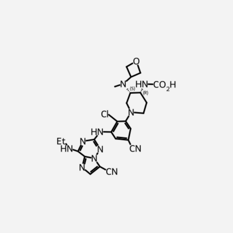 CCNc1nc(Nc2cc(C#N)cc(N3CC[C@@H](NC(=O)O)[C@@H](N(C)C4COC4)C3)c2Cl)nn2c(C#N)cnc12